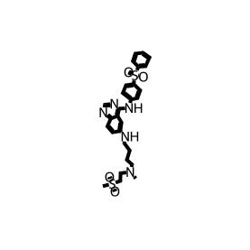 CN(CCCCNc1ccc2ncnc(Nc3ccc(S(=O)(=O)c4ccccc4)cc3)c2c1)CCS(C)(=O)=O